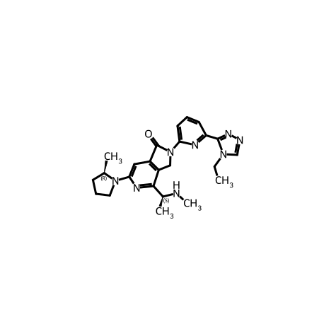 CCn1cnnc1-c1cccc(N2Cc3c(cc(N4CCC[C@H]4C)nc3[C@H](C)NC)C2=O)n1